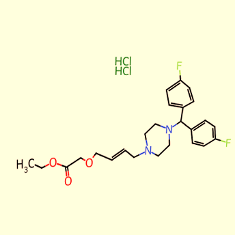 CCOC(=O)COCC=CCN1CCN(C(c2ccc(F)cc2)c2ccc(F)cc2)CC1.Cl.Cl